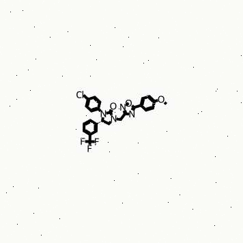 COc1ccc(-c2nc(CN3C[C@H](c4cccc(C(F)(F)F)c4)N(c4ccc(Cl)cc4)C3=O)no2)cc1